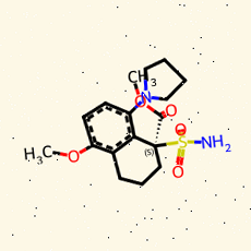 COC(=O)[C@]1(S(N)(=O)=O)CCCc2c(OC)ccc(N3CCCC3)c21